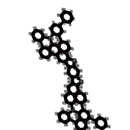 c1ccc(-c2ccc(N(c3ccc4cc5c(cc4c3)oc3cc4oc6cc7cc(N(c8ccccc8-c8ccccc8)c8ccc(-c9ccccc9)cc8-c8ccccc8)ccc7cc6c4cc35)c3ccccc3-c3ccccc3)c(-c3ccccc3)c2)cc1